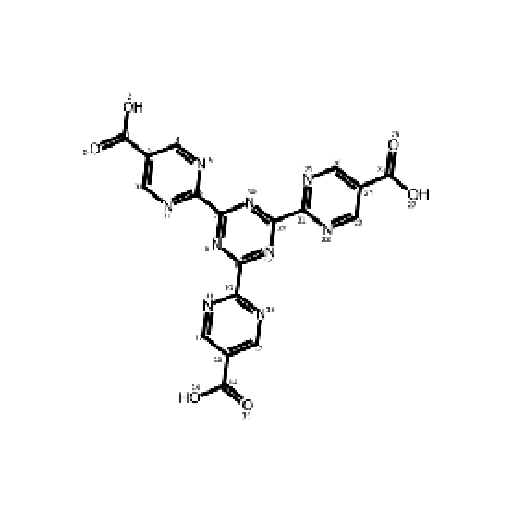 O=C(O)c1cnc(-c2nc(-c3ncc(C(=O)O)cn3)nc(-c3ncc(C(=O)O)cn3)n2)nc1